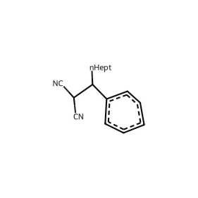 CCCCCCCC(c1ccccc1)C(C#N)C#N